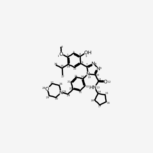 COc1cc(O)c(-c2nnc(C(=O)NC3CCCC3)n2-c2ccc(CN3CCOCC3)cc2)cc1C(C)C